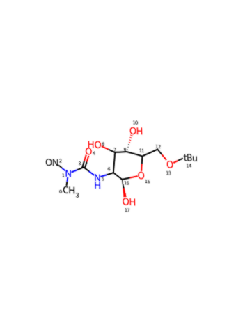 CN(N=O)C(=O)NC1C(O)[C@H](O)C(COC(C)(C)C)O[C@H]1O